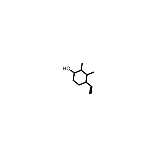 C=CC1CCC(O)C(C)C1C